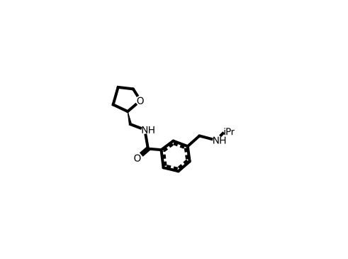 CC(C)NCc1cccc(C(=O)NC[C@H]2CCCO2)c1